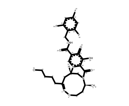 C[C@H]1CCO/N=C(/CCCCCl)C[C@H]2CN1C(=O)c1c(O)c(=O)c(C(=O)NCc3c(F)cc(F)cc3F)cn12